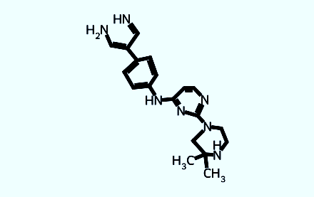 CC1(C)CN(c2nccc(Nc3ccc(/C(C=N)=C/N)cc3)n2)CCN1